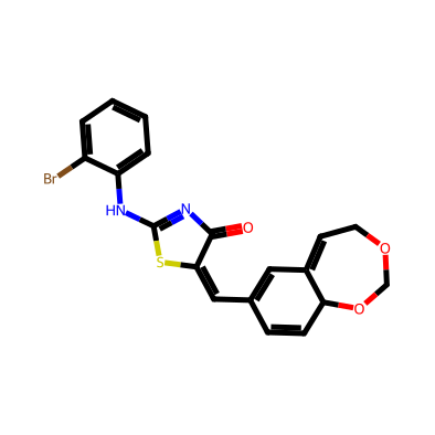 O=C1N=C(Nc2ccccc2Br)SC1=CC1=CC2=CCOCOC2C=C1